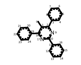 Cc1c(-c2ccccc2)nc(-c2ccccc2)nc1-c1ccccc1